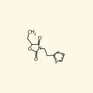 CCC1OC(=O)N(CCc2cccs2)C1=O